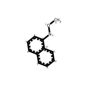 CO[N]c1cccc2ccccc12